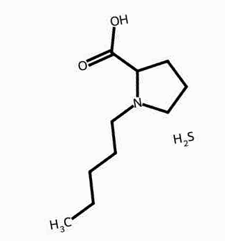 CCCCCN1CCCC1C(=O)O.S